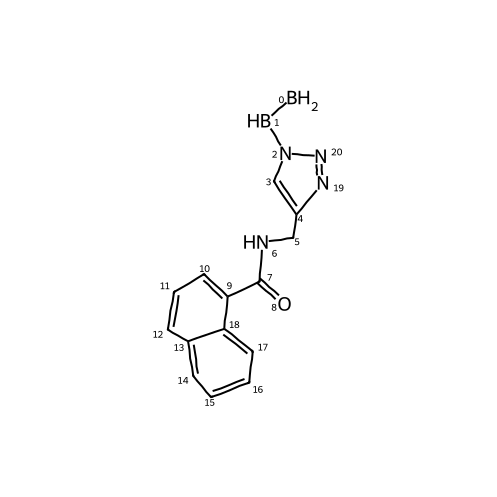 BBn1cc(CNC(=O)c2cccc3ccccc23)nn1